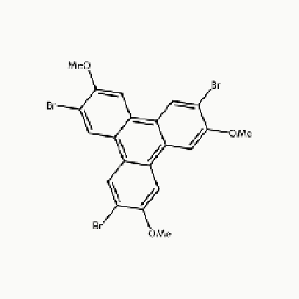 COc1cc2c(cc1Br)c1cc(Br)c(OC)cc1c1cc(OC)c(Br)cc21